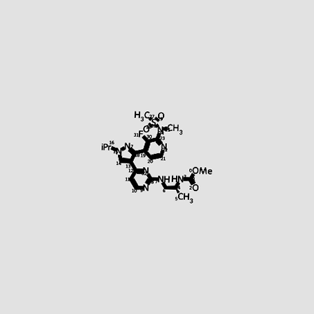 COC(=O)N[C@@H](C)CNc1nccc(-c2cn(C(C)C)nc2-c2ccnc(N(C)S(C)(=O)=O)c2F)n1